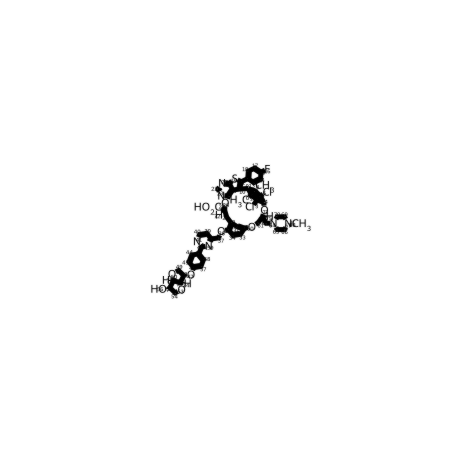 Cc1c(Cl)c2c(Cl)c(C)c1-c1c(-c3ccc(F)cc3)sc3ncnc(c13)O[C@@H](C(=O)O)Cc1cc(ccc1OCc1ccnc(-c3ccc(O[C@H]4CO[C@H]5[C@@H]4OC[C@@H]5O)cc3)n1)OC[C@@H](CN1CCN(C)CC1)O2